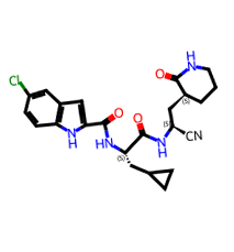 N#C[C@H](C[C@@H]1CCCNC1=O)NC(=O)[C@H](CC1CC1)NC(=O)c1cc2cc(Cl)ccc2[nH]1